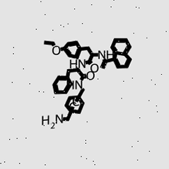 C=C(NC(Cc1ccc(OCC)cc1)C(=O)NC(Cc1ccccc1)C(=O)NCC12CCC(CN)(CC1)CC2)c1cccc2ccccc12